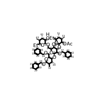 CCC1O[C@H](OCC2O[C@@H](O[C@@H]3C(COCc4ccccc4)O[C@@H](OCc4ccccc4)C(C)[C@H]3C)C(OCc3ccccc3)[C@@H](O[C@@H]3OC(CC)[C@H](C)[C@@H](C)C3OC(C)=O)[C@@H]2O)C(O)[C@@H](C)[C@@H]1C